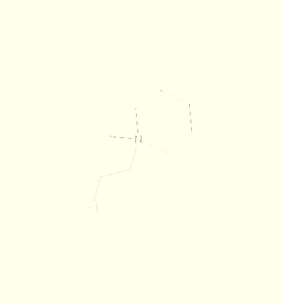 [O-][N+]1(CCCl)CCCCC1